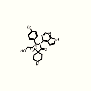 NC1(C(=O)N(c2ncnc3[nH]ccc23)[C@@H](CCO)c2ccc(Br)cc2)CCNCC1